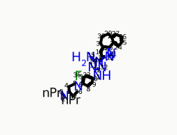 CCCN(CCC)C1CCN(c2ccc(Nc3nc(N)n(-c4cc5c(nn4)-c4ccccc4CCC5)n3)cc2F)CC1